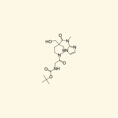 CN(C(=O)C1(CO)CCN(C(=O)CNC(=O)OC(C)(C)C)CC1)c1ncc[nH]1